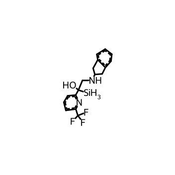 OC([SiH3])(CNC1Cc2ccccc2C1)c1cccc(C(F)(F)F)n1